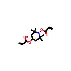 C=CC(=O)ON1C(C)(C)CC(OC(O)C=C)CC1(C)C